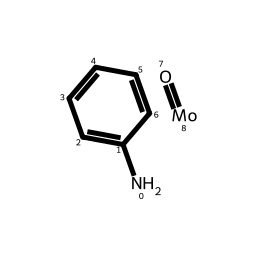 Nc1ccccc1.[O]=[Mo]